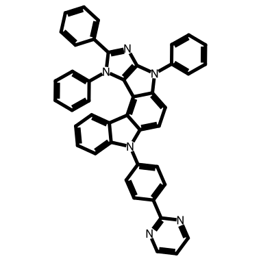 c1ccc(-c2nc3c(c4c5c6ccccc6n(-c6ccc(-c7ncccn7)cc6)c5ccc4n3-c3ccccc3)n2-c2ccccc2)cc1